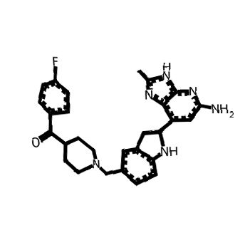 Cc1nc2c(C3Cc4cc(CN5CCC(C(=O)c6ccc(F)cc6)CC5)ccc4N3)cc(N)nc2[nH]1